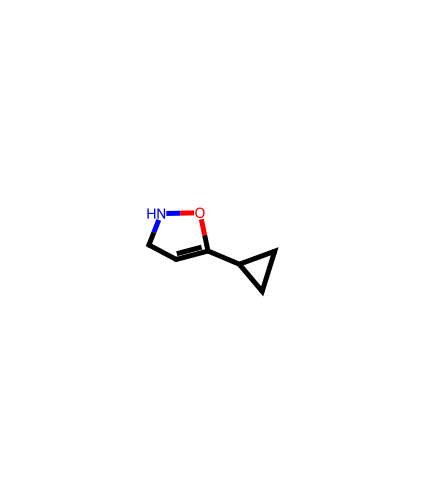 C1=C(C2CC2)ONC1